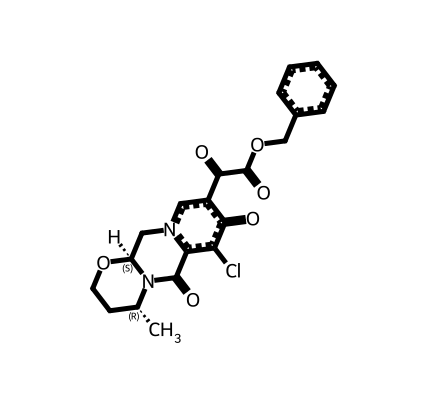 C[C@@H]1CCO[C@H]2Cn3cc(C(=O)C(=O)OCc4ccccc4)c(=O)c(Cl)c3C(=O)N12